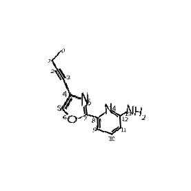 CCC#Cc1coc(-c2cccc(N)n2)n1